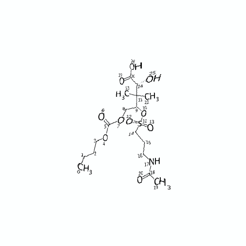 CCCCOC(=O)OCC(OS(=O)(=O)CCCNC(C)=O)C(C)(C)[C@@H](O)C(=O)O